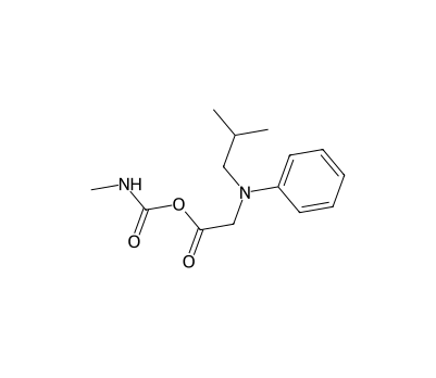 CNC(=O)OC(=O)CN(CC(C)C)c1ccccc1